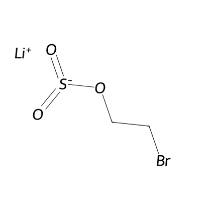 O=[S-](=O)OCCBr.[Li+]